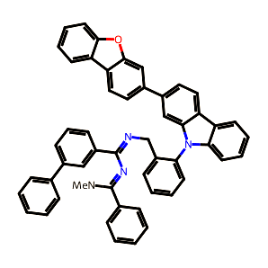 CN/C(=N\C(=N/Cc1ccccc1-n1c2ccccc2c2ccc(-c3ccc4c(c3)oc3ccccc34)cc21)c1cccc(-c2ccccc2)c1)c1ccccc1